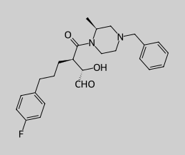 C[C@H]1CN(Cc2ccccc2)CCN1C(=O)[C@H](CCCc1ccc(F)cc1)[C@H](O)C=O